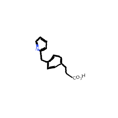 O=C(O)CCc1ccc(Cc2ccccn2)cc1